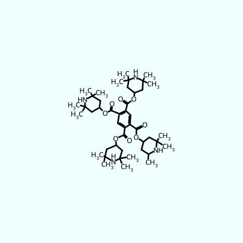 CC1CC(OC(=O)c2cc(C(=O)OC3CC(C)(C)NC(C)(C)C3)c(C(=O)OC3CC(C)(C)NC(C)(C)C3)cc2C(=O)OC2CC(C)(C)NC(C)(C)C2)CC(C)(C)N1